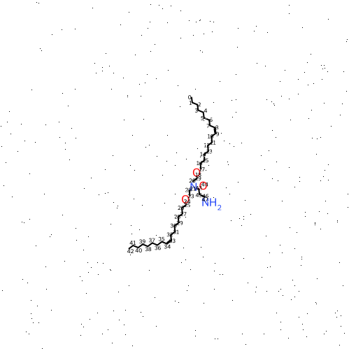 CCCCCCCC/C=C\CCCCCCCCOCCN(CCOCCCCCCCC/C=C\CCCCCCCC)C(=O)CCN